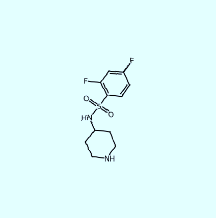 O=S(=O)(NC1CCNCC1)c1ccc(F)cc1F